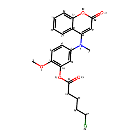 COc1ccc(N(C)c2cc(=O)oc3ccccc23)cc1OC(=O)CCCCCl